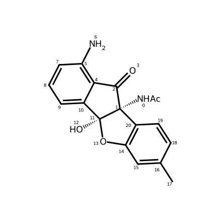 CC(=O)N[C@@]12C(=O)c3c(N)cccc3[C@]1(O)Oc1cc(C)ccc12